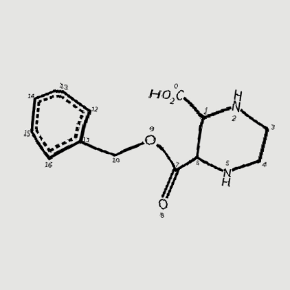 O=C(O)C1NCCNC1C(=O)OCc1ccccc1